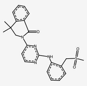 CC1(C)CN(c2ccnc(Nc3ccccc3CS(C)(=O)=O)n2)C(=O)c2ccccc21